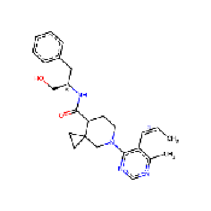 C/C=C\c1c(C)ncnc1N1CCC(C(=O)N[C@@H](CO)Cc2ccccc2)C2(CC2)C1